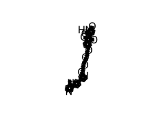 Cn1c2ccncc2c2ccc(-c3ccnc(OCCOCCOCCOc4ccc5c(c4)C(=O)N(C4CCC(=O)NC4=O)C5=O)c3)cc21